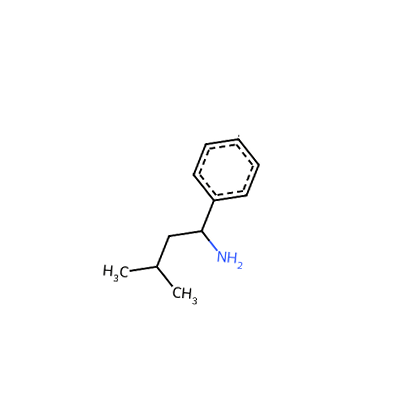 CC(C)CC(N)c1cc[c]cc1